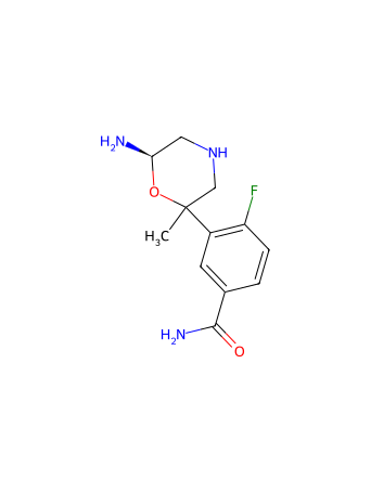 CC1(c2cc(C(N)=O)ccc2F)CNC[C@H](N)O1